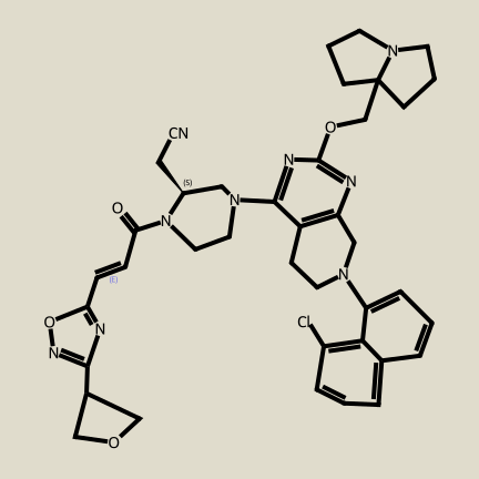 N#CC[C@H]1CN(c2nc(OCC34CCCN3CCC4)nc3c2CCN(c2cccc4cccc(Cl)c24)C3)CCN1C(=O)/C=C/c1nc(C2COC2)no1